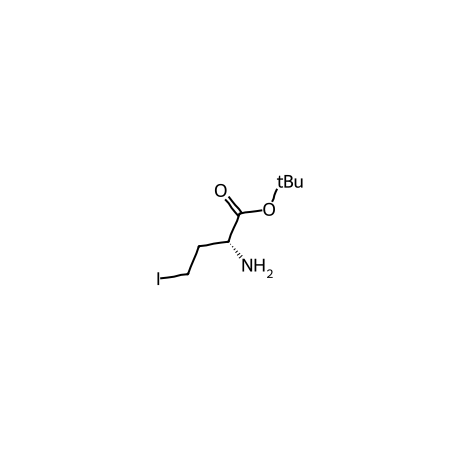 CC(C)(C)OC(=O)[C@H](N)CCI